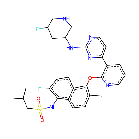 Cc1ccc2c(NS(=O)(=O)CC(C)C)c(F)ccc2c1Oc1ncccc1-c1ccnc(NC2CNCC(F)C2)n1